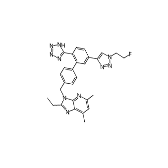 CCc1nc2c(C)cc(C)nc2n1Cc1ccc(-c2cc(-c3cn(CCF)nn3)ccc2-c2nnn[nH]2)cc1